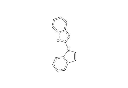 C1=C[SiH](c2cc3ccccc3o2)c2ccccc21